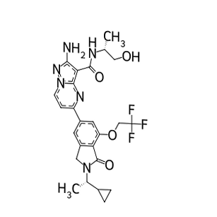 C[C@H](CO)NC(=O)c1c(N)nn2ccc(-c3cc4c(c(OCC(F)(F)F)c3)C(=O)N([C@@H](C)C3CC3)C4)nc12